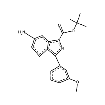 COc1cccc(-c2nn(C(=O)OC(C)(C)C)c3cc(N)ccc23)c1